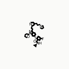 O=C(NC1CC1)c1cc(F)ccc1Sc1ccc2c(/C=C/c3cc(CCCN4CCCC4)ccn3)nn(C3CCCCO3)c2c1